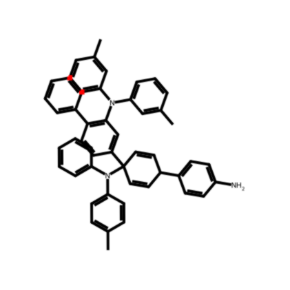 Cc1ccc(N(c2ccccc2)C2(c3ccc(-c4ccccc4)c(N(c4cccc(C)c4)c4cccc(C)c4)c3)C=CC(c3ccc(N)cc3)C=C2)cc1